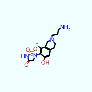 NCCCN1CCc2cc(O)c(N3CC(=O)NS3(=O)=O)c(F)c2C1